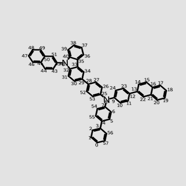 c1ccc(-c2ccc(N(c3ccc(-c4ccc5ccccc5c4)cc3)c3ccc(-c4ccc5c(c4)c4ccccc4n5-c4ccc5ccccc5c4)cc3)cc2)cc1